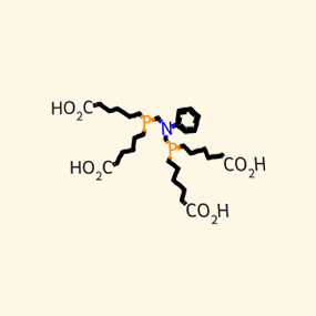 O=C(O)CCCCCP(CCCCCC(=O)O)CN(CP(CCCCCC(=O)O)CCCCCC(=O)O)c1ccccc1